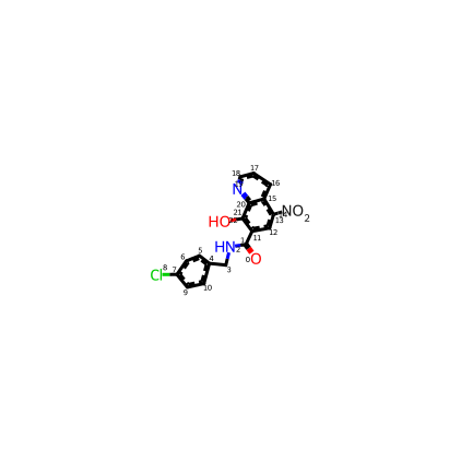 O=C(NCc1ccc(Cl)cc1)c1cc([N+](=O)[O-])c2cccnc2c1O